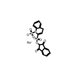 O=C1c2ccccc2C(=O)C1OS(=O)(=O)C1=CCc2ccccc2N1S(=O)(=O)[O-].[Na+]